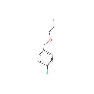 FCCOCc1ccc(F)cc1